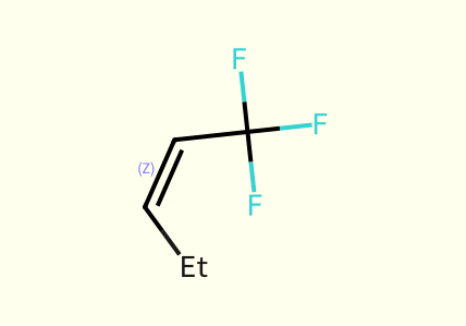 CC/C=C\C(F)(F)F